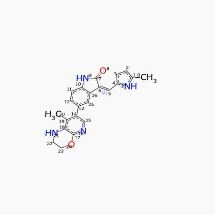 Cc1ccc(/C=C2\C(=O)Nc3ccc(-c4cnc5c(c4C)NCCO5)cc32)[nH]1